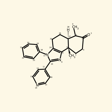 CC1C(=O)CC[C@]2(C)c3nc(-c4ccncc4)n(-c4ccccc4)c3CC[C@@H]12